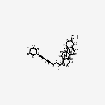 C[C@H](CCC#CC#Cc1ccccc1)[C@H]1CC[C@H]2[C@@H]3CC=C4C[C@@H](O)CC[C@]4(C)[C@H]3CC[C@]12C